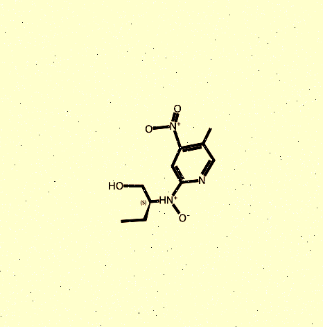 CC[C@@H](CO)[NH+]([O-])c1cc([N+](=O)[O-])c(C)cn1